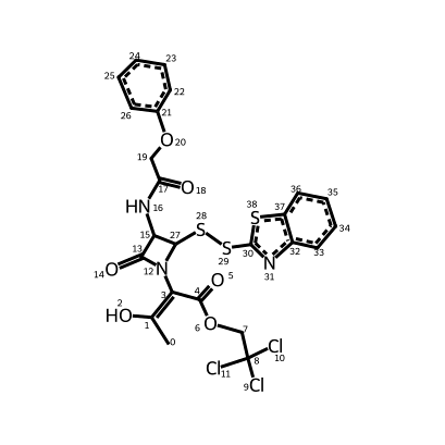 CC(O)=C(C(=O)OCC(Cl)(Cl)Cl)N1C(=O)C(NC(=O)COc2ccccc2)C1SSc1nc2ccccc2s1